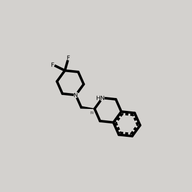 FC1(F)CCN(C[C@@H]2Cc3ccccc3CN2)CC1